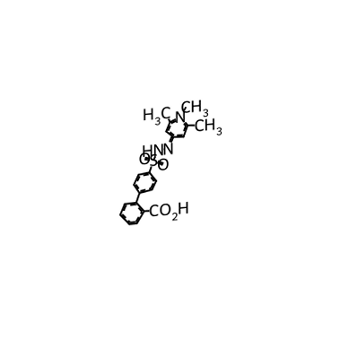 Cc1cc(=NNS(=O)(=O)c2ccc(-c3ccccc3C(=O)O)cc2)cc(C)n1C